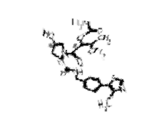 Cc1ncsc1-c1ccc(CNC(=O)[C@@H]2C[C@@H](O)CN2C(=O)[C@@H](OC(N)=O)C(C)C)cc1